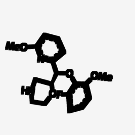 COc1cccc(C(Oc2c(F)cccc2OC)[C@@H]2CNCCO2)n1